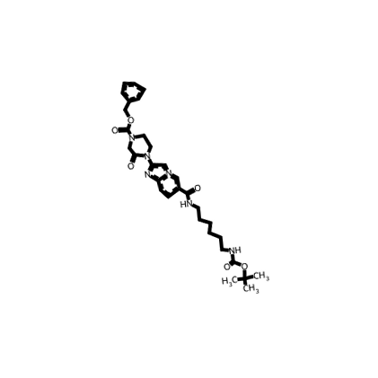 CC(C)(C)OC(=O)NCCCCCCNC(=O)c1ccc2nc(N3CCN(C(=O)OCc4ccccc4)CC3=O)cn2c1